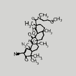 COCCN(C)C(=O)C1(C)CCC2(C)CCC3(C)C4(C)CCC5C(C)(C)C(=O)C(C#N)=CC5(C)C4=CC(=O)C3(O)C2C1